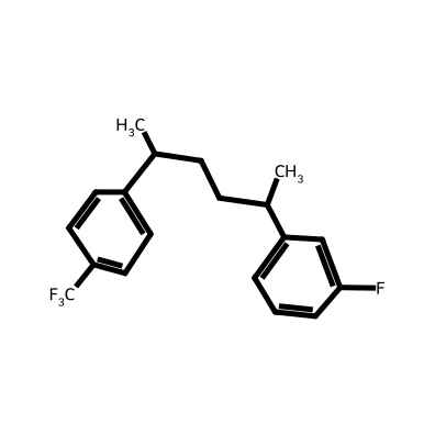 CC(CCC(C)c1cccc(F)c1)c1ccc(C(F)(F)F)cc1